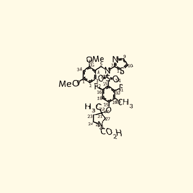 COc1ccc(CN(c2nccs2)S(=O)(=O)c2c(F)cc(OC3(C)CCN(C(=O)O)C3)c(C)c2F)c(OC)c1